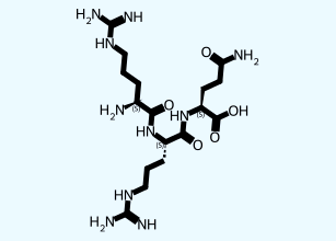 N=C(N)NCCC[C@H](NC(=O)[C@@H](N)CCCNC(=N)N)C(=O)N[C@@H](CCC(N)=O)C(=O)O